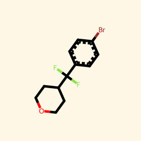 FC(F)(c1ccc(Br)cc1)C1CCOCC1